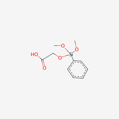 CO[Si](OC)(OCC(=O)O)c1ccccc1